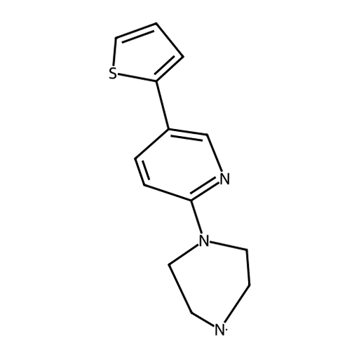 c1csc(-c2ccc(N3CC[N]CC3)nc2)c1